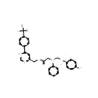 O=C(CN(CS(=O)(=O)c1ccc(F)cc1)c1ccccc1)NCc1cc(-c2ccc(C(F)(F)F)cc2)ncn1